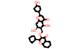 O=c1c(OCc2c(O)cc3oc(-c4ccc(O)cc4)cc(=O)c3c2O)c(-c2ccccc2)oc2ccccc12